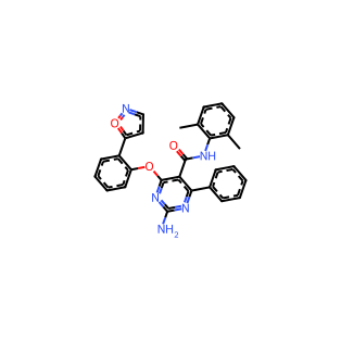 Cc1cccc(C)c1NC(=O)c1c(Oc2ccccc2-c2ccno2)nc(N)nc1-c1ccccc1